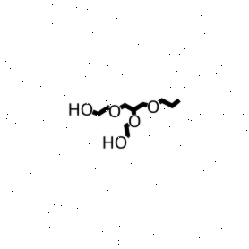 CCCOCC(COCCO)OCCO